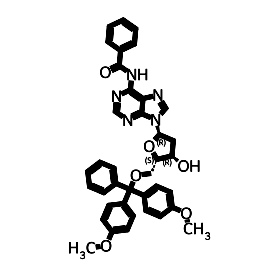 COc1ccc(C(OC[C@@H]2O[C@@H](n3cnc4c(NC(=O)c5ccccc5)ncnc43)C[C@H]2O)(c2ccccc2)c2ccc(OC)cc2)cc1